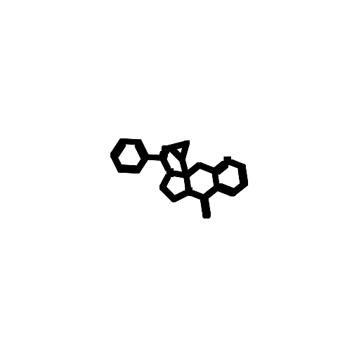 O=C(c1ccccc1)N1CCN2C(=O)c3cccnc3CC12C1CC1